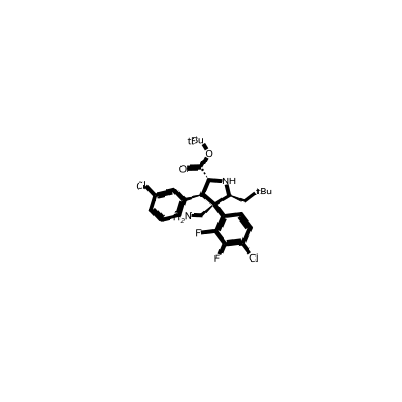 CC(C)(C)C[C@@H]1N[C@@H](C(=O)OC(C)(C)C)[C@H](c2cccc(Cl)c2)[C@@]1(CN)c1ccc(Cl)c(F)c1F